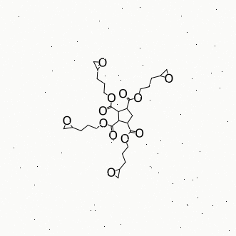 O=C(OCCCC1CO1)C1CC(C(=O)OCCCC2CO2)C(C(=O)OCCCC2CO2)C1C(=O)OCCCC1CO1